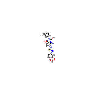 O=C1[C@H]2[C@H]3CC(CN3C(=S)Nc3ccc4c(c3)OCO4)N2C(=O)N1c1cccc(C(F)(F)F)c1